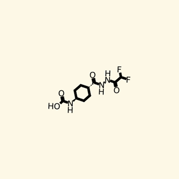 O=C(O)N[C@H]1CC[C@H](C(=O)NNC(=O)C(F)F)CC1